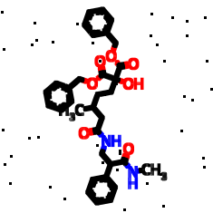 CNC(=O)C(CNC(=O)CC(C)CCC(O)(C(=O)OCc1ccccc1)C(=O)OCc1ccccc1)c1ccccc1